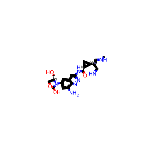 CN/C=C(\C=N)[C@H]1C[C@@H]1C(=O)Nc1cc2cc(N3C(O)OC[C@@H]3CO)cc(N)c2nn1